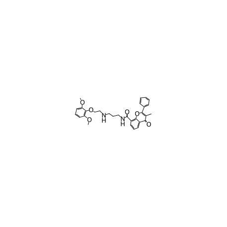 COc1cccc(OC)c1OCCNCCCNC(=O)c1cccc2c(=O)c(C)c(-c3ccccc3)oc12